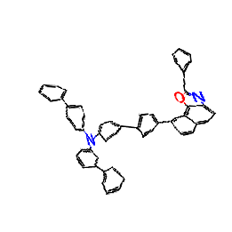 c1ccc(-c2ccc(N(c3ccc(-c4ccc(-c5ccc6ccc7nc(-c8ccccc8)oc7c6c5)cc4)cc3)c3cccc(-c4ccccc4)c3)cc2)cc1